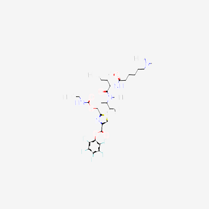 CCNC(=O)O[C@H](CC(C(C)C)N(C)C(=O)[C@@H](NC(=O)CCCCCN(C)C)[C@@H](C)CC)c1nc(C(=O)Oc2c(F)c(F)c(F)c(F)c2F)cs1